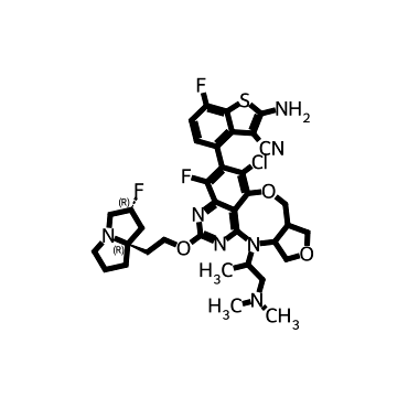 CC(CN(C)C)N1c2nc(OCC[C@@]34CCCN3C[C@H](F)C4)nc3c(F)c(-c4ccc(F)c5sc(N)c(C#N)c45)c(Cl)c(c23)OCC2COCC21